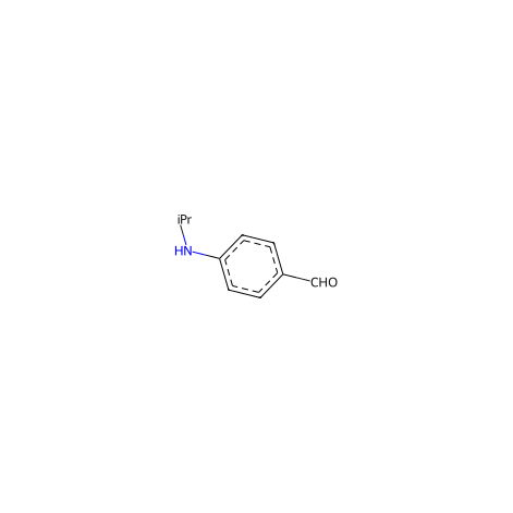 CC(C)Nc1ccc(C=O)cc1